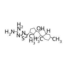 C[C@H]1CC[C@]2(C)C3CC[C@]4(C)[C@@H](c5csc(N=C(N)N)n5)CC[C@]4(O)C3CC[C@@H]2C1